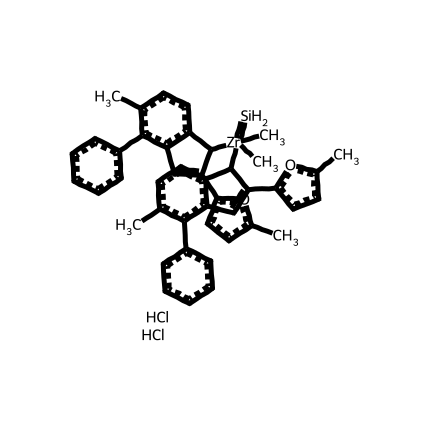 Cc1ccc(C2=Cc3c(ccc(C)c3-c3ccccc3)[CH]2[Zr]([CH3])([CH3])(=[SiH2])[CH]2C(c3ccc(C)o3)=Cc3c2ccc(C)c3-c2ccccc2)o1.Cl.Cl